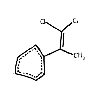 CC(=C(Cl)Cl)c1cc[c]cc1